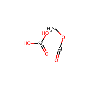 [O]=[Al][O][SiH3].[O]=[Sn]([OH])[OH]